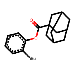 CCC(C)c1ccccc1OC(=O)C12CC3CC(CC(C3)C1)C2